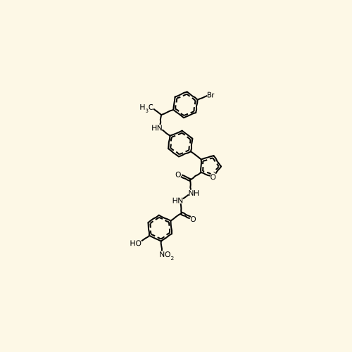 CC(Nc1ccc(-c2ccoc2C(=O)NNC(=O)c2ccc(O)c([N+](=O)[O-])c2)cc1)c1ccc(Br)cc1